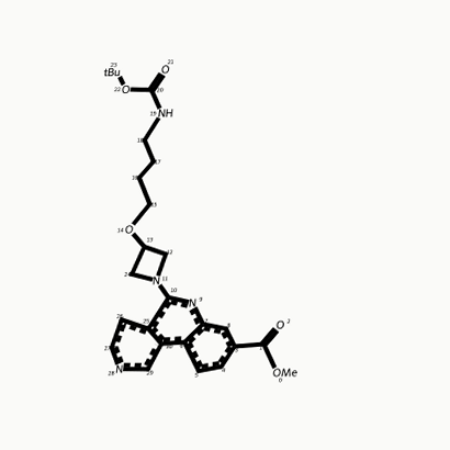 COC(=O)c1ccc2c(c1)nc(N1CC(OCCCCNC(=O)OC(C)(C)C)C1)c1ccncc12